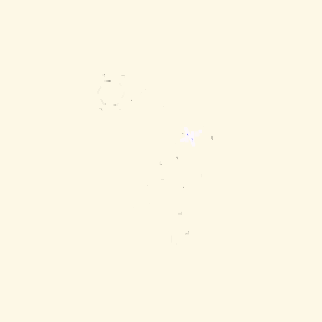 CCCCCCCC[N+](CC)(CCCCCCCC)CCCCCc1ccccc1